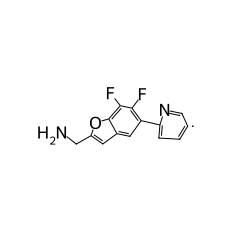 NCc1cc2cc(-c3cc[c]cn3)c(F)c(F)c2o1